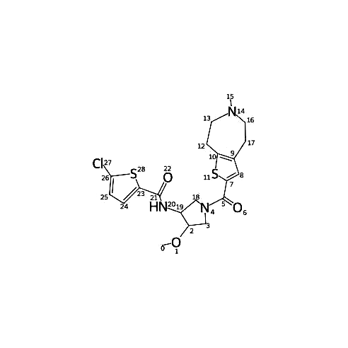 COC1CN(C(=O)c2cc3c(s2)CCN(C)CC3)CC1NC(=O)c1ccc(Cl)s1